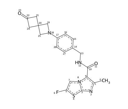 Cc1nc2sc(F)cn2c1C(=O)NCc1ccc(N2CC3(CC(=O)C3)C2)cc1